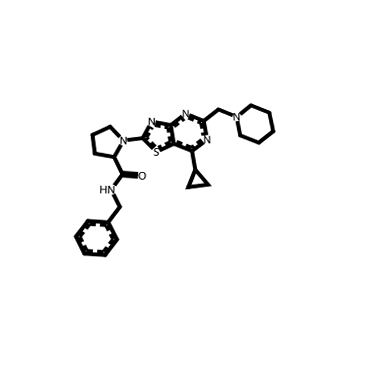 O=C(NCc1ccccc1)C1CCCN1c1nc2nc(CN3CCCCC3)nc(C3CC3)c2s1